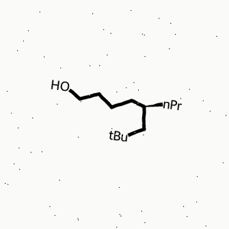 CCC[C@H](CCCCO)CC(C)(C)C